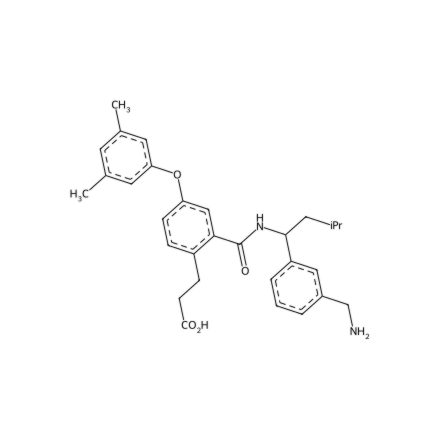 Cc1cc(C)cc(Oc2ccc(CCC(=O)O)c(C(=O)NC(CC(C)C)c3cccc(CN)c3)c2)c1